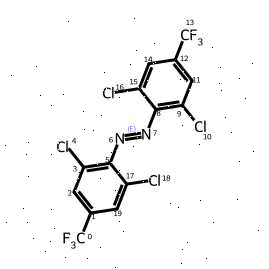 FC(F)(F)c1cc(Cl)c(/N=N/c2c(Cl)cc(C(F)(F)F)cc2Cl)c(Cl)c1